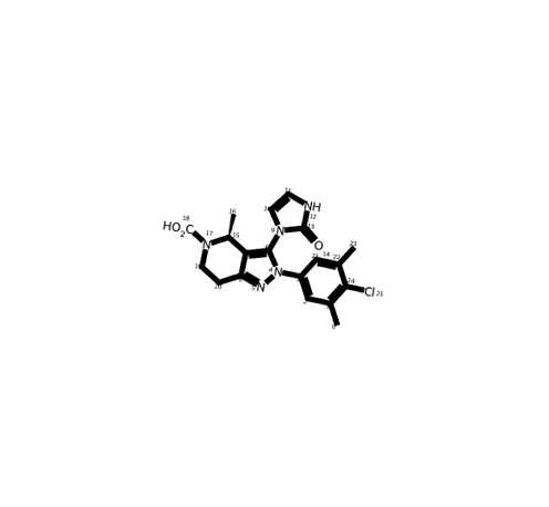 Cc1cc(-n2nc3c(c2-n2cc[nH]c2=O)[C@H](C)N(C(=O)O)CC3)cc(C)c1Cl